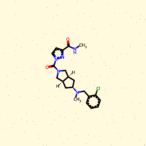 CNC(=O)c1ccn(C(=O)N2C[C@H]3C[C@@H](N(C)Cc4ccccc4Cl)C[C@H]3C2)n1